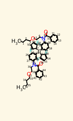 CCCCOCCN(C(=O)c1ccccc1)c1ccc(F)[c]([Ti]([c]2c(F)ccc(N(CCOCCCC)C(=O)c3ccccc3)c2F)([CH]2C=CC=C2)[CH]2C=CC=C2)c1F